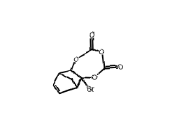 O=C1OC(=O)OC2(Br)C3C=CC(C3)C2O1